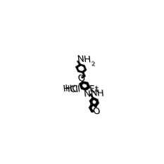 CCNC(=Nc1ccc(OCC2CCC(CN)CC2)cc1)c1ccc2occc2c1.Cl.Cl